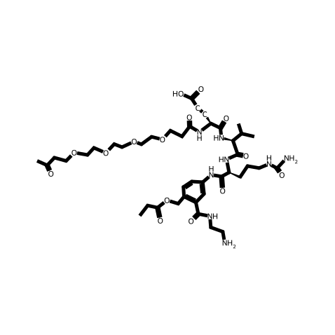 CCC(=O)OCc1ccc(NC(=O)[C@H](CCCNC(N)=O)NC(=O)[C@@H](NC(=O)[C@H](CCC(=O)O)NC(=O)CCOCCOCCOCCOCCC(C)=O)C(C)C)cc1C(=O)NCCN